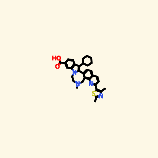 Cc1nc(C)c(-c2ccc3ccc4c(c3n2)CN(C)CCn2c-4c(C3CCCCC3)c3ccc(C(=O)O)cc32)s1